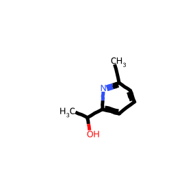 Cc1cccc(C(C)O)n1